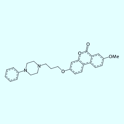 COc1ccc2c(c1)c(=O)oc1cc(OCCCN3CCN(c4ccccc4)CC3)ccc12